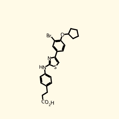 O=C(O)CCc1ccc(Nc2nc(-c3ccc(OC4CCCC4)c(Br)c3)cs2)cc1